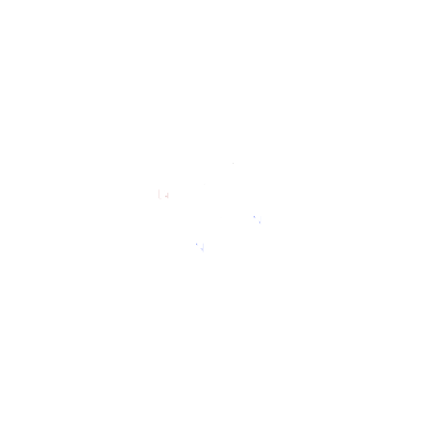 BrC1(c2ncccn2)CC1